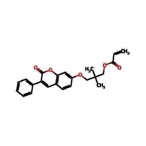 C=CC(=O)OCC(C)(C)COc1ccc2cc(-c3ccccc3)c(=O)oc2c1